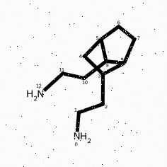 NCCC1CC2CCC1C2CCN